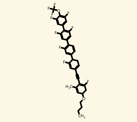 CCCCOC1C=C(C)C(C#CC2=CCC(c3ccc(-c4cc(F)c(-c5cc(F)c(OC(F)(F)F)c(F)c5)c(F)c4)c(F)c3)C(F)=C2)=C(F)C1